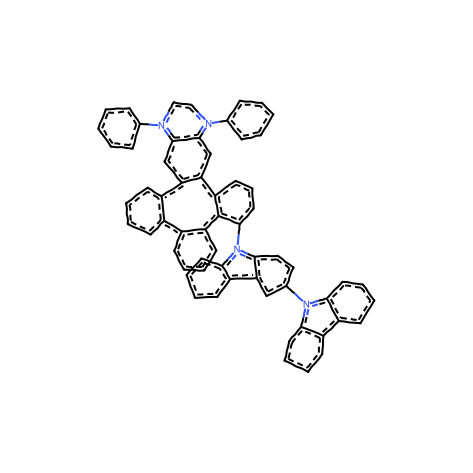 c1ccc(-n2ccn(-c3ccccc3)c3cc4c(cc32)c2ccccc2c2ccccc2c2c(-n3c5ccccc5c5cc(-n6c7ccccc7c7ccccc76)ccc53)cccc42)cc1